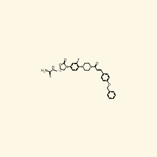 NC(=S)NC[C@H]1CN(c2ccc(N3CCN(C(=O)C=Cc4ccc(OCc5ccccc5)cc4)CC3)c(F)c2)C(=O)O1